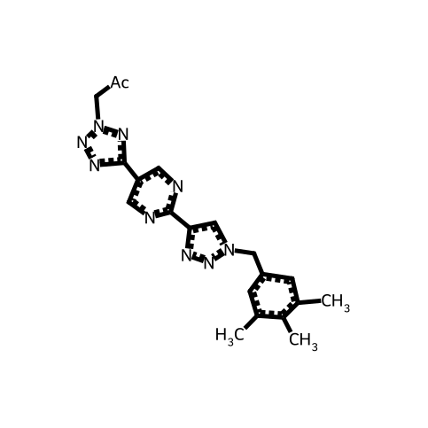 CC(=O)Cn1nnc(-c2cnc(-c3cn(Cc4cc(C)c(C)c(C)c4)nn3)nc2)n1